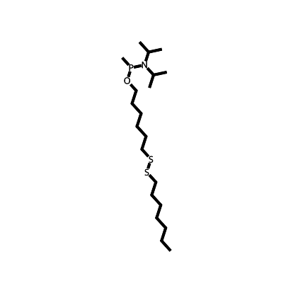 CCCCCCCSSCCCCCCOP(C)N(C(C)C)C(C)C